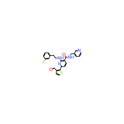 O=Cc1ccsc1-c1ccc(C(=O)NCc2cccnc2)c(NCCc2cccc(F)c2)n1